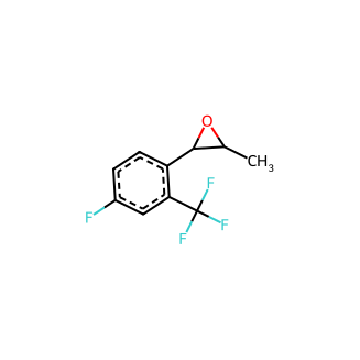 CC1OC1c1ccc(F)cc1C(F)(F)F